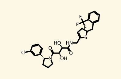 O=C(NCC1=CCC(Cc2ccccc2C(F)(F)F)S1)[C@H](O)[C@@H](O)C(=O)N1CCC[C@@H]1c1cccc(Cl)c1